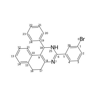 Brc1cccc(C2=NC3=C(c4ccccc4CC3)C(c3ccccc3)N2)c1